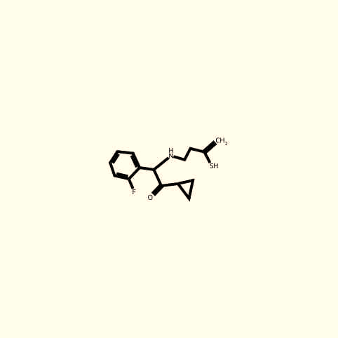 C=C(S)CCNC(C(=O)C1CC1)c1ccccc1F